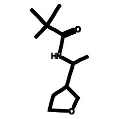 CC(NC(=O)C(C)(C)C)C1CCOC1